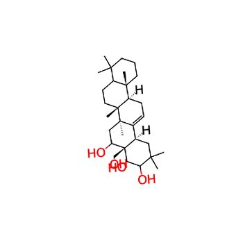 CC1(C)C[C@@H]2C3=CC[C@@H]4[C@@]5(C)CCCC(C)(C)C5CC[C@@]4(C)[C@]3(C)CC(O)[C@@]2(CO)C(O)C1O